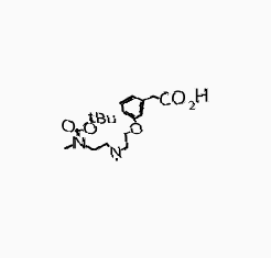 CN(CCOc1cccc(CC(=O)O)c1)CCN(C)C(=O)OC(C)(C)C